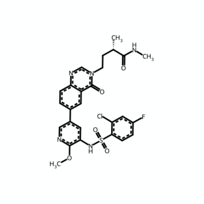 CNC(=O)[C@@H](C)CCn1cnc2ccc(-c3cnc(OC)c(NS(=O)(=O)c4ccc(F)cc4Cl)c3)cc2c1=O